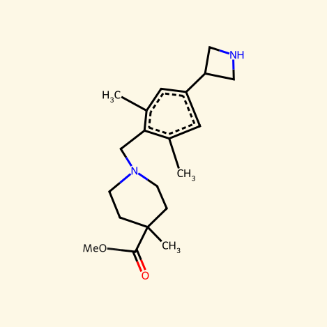 COC(=O)C1(C)CCN(Cc2c(C)cc(C3CNC3)cc2C)CC1